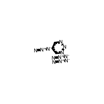 [N-]=[N+]=[N-].[N-]=[N+]=[N-].[N-]=[N+]=[N-].c1cnnnc1